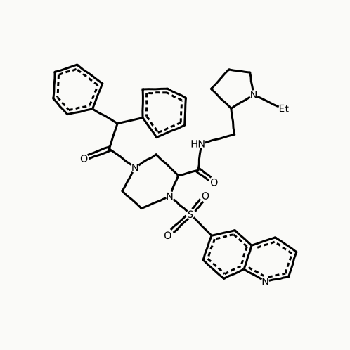 CCN1CCCC1CNC(=O)C1CN(C(=O)C(c2ccccc2)c2ccccc2)CCN1S(=O)(=O)c1ccc2ncccc2c1